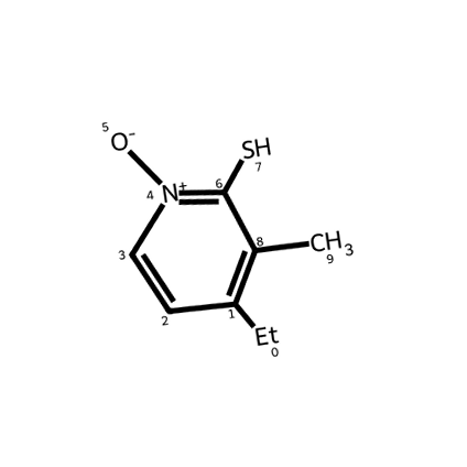 CCc1cc[n+]([O-])c(S)c1C